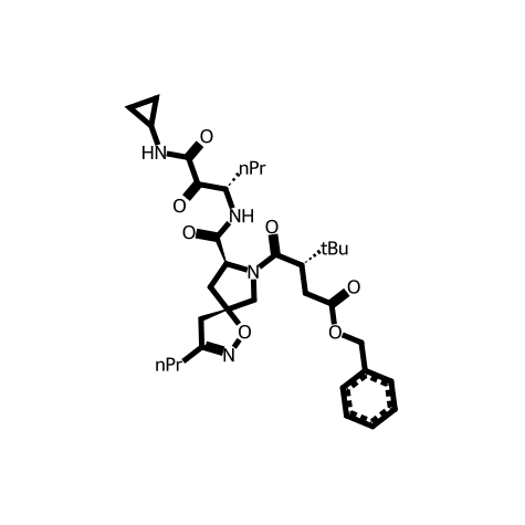 CCCC1=NO[C@]2(C1)C[C@@H](C(=O)N[C@@H](CCC)C(=O)C(=O)NC1CC1)N(C(=O)[C@@H](CC(=O)OCc1ccccc1)C(C)(C)C)C2